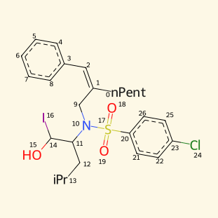 CCCCCC(=Cc1ccccc1)CN(C(CC(C)C)C(O)I)S(=O)(=O)c1ccc(Cl)cc1